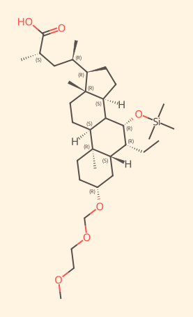 CC[C@H]1[C@@H](O[Si](C)(C)C)C2[C@H](CC[C@]3(C)[C@@H]([C@H](C)C[C@H](C)C(=O)O)CC[C@@H]23)[C@]2(C)CC[C@@H](OCOCCOC)C[C@@H]12